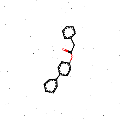 O=C(Cc1ccccc1)Oc1ccc(-c2ccccc2)cc1